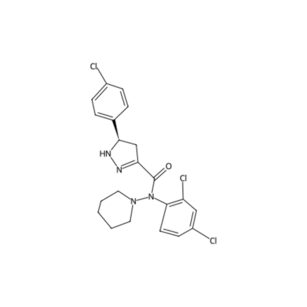 O=C(C1=NN[C@@H](c2ccc(Cl)cc2)C1)N(c1ccc(Cl)cc1Cl)N1CCCCC1